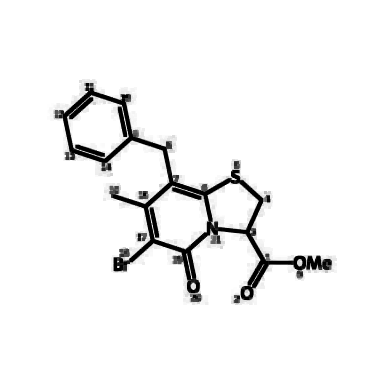 COC(=O)C1CSc2c(Cc3ccccc3)c(C)c(Br)c(=O)n21